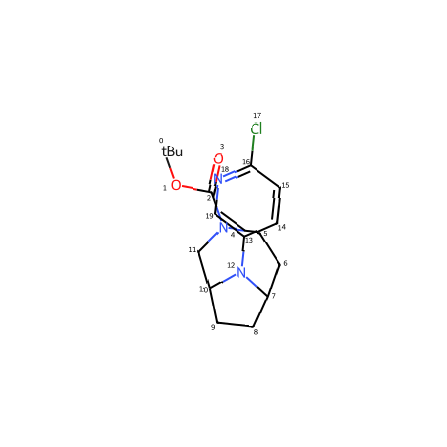 CC(C)(C)OC(=O)N1CCC2CCC(C1)N2c1ccc(Cl)nc1